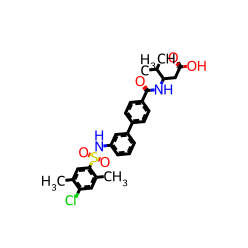 Cc1cc(S(=O)(=O)Nc2cccc(-c3ccc(C(=O)NC(CC(=O)O)C(C)C)cc3)c2)c(C)cc1Cl